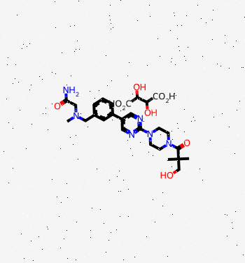 CN(CC(N)=O)Cc1cccc(-c2cnc(N3CCN(C(=O)C(C)(C)CO)CC3)nc2)c1.O=C(O)C(O)C(O)C(=O)O